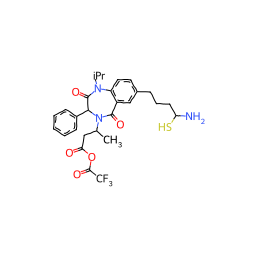 CC(C)N1C(=O)C(c2ccccc2)N(C(C)CC(=O)OC(=O)C(F)(F)F)C(=O)c2cc(CCCC(N)S)ccc21